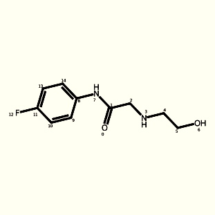 O=C(CNCCO)Nc1ccc(F)cc1